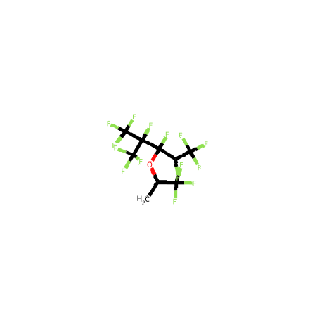 CC(OC(F)(C(F)C(F)(F)F)C(F)(C(F)(F)F)C(F)(F)F)C(F)(F)F